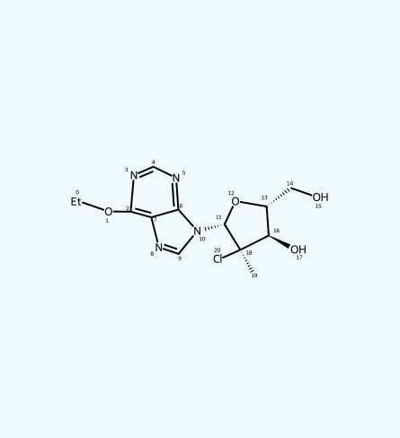 CCOc1ncnc2c1ncn2[C@@H]1O[C@H](CO)[C@@H](O)[C@@]1(C)Cl